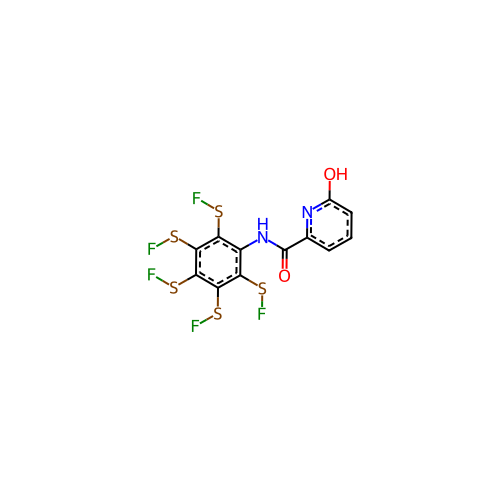 O=C(Nc1c(SF)c(SF)c(SF)c(SF)c1SF)c1cccc(O)n1